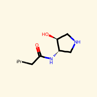 CC(C)CC(=O)N[C@H]1CNC[C@@H]1O